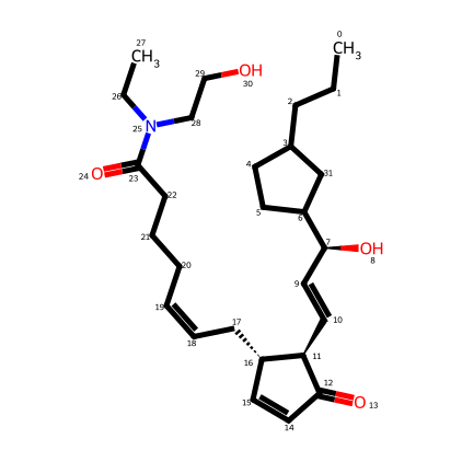 CCCC1CCC([C@@H](O)/C=C/[C@H]2C(=O)C=C[C@@H]2C/C=C\CCCC(=O)N(CC)CCO)C1